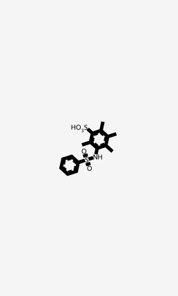 Cc1c(C)c(NS(=O)(=O)c2ccccc2)c(C)c(S(=O)(=O)O)c1C